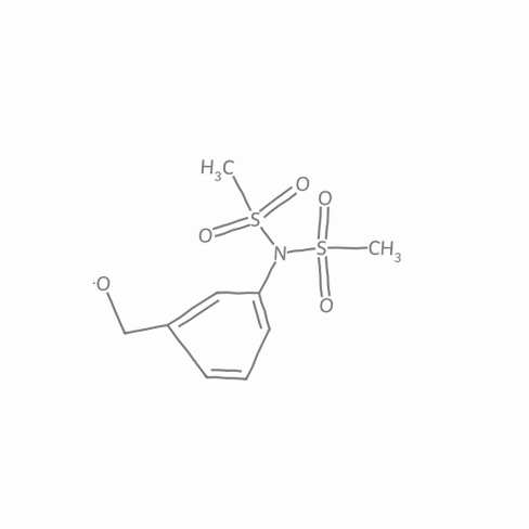 CS(=O)(=O)N(c1cccc(C[O])c1)S(C)(=O)=O